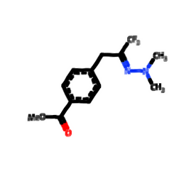 COC(=O)c1ccc(CC(=NN(C)C)C(F)(F)F)cc1